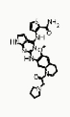 COc1cc2c(cc1Nc1nc(Nc3ccsc3C(N)=O)c3cc[nH]c3n1)N(C(=O)CN1CCCC1)CCC2